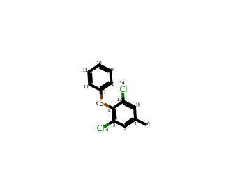 Cc1cc(Cl)c(Sc2ccccc2)c(Cl)c1